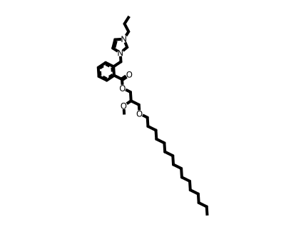 CCCCCCCCCCCCCCCCOCC(COC(=O)c1ccccc1CN1C=CN(CCC)C1)OC